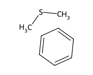 CSC.c1ccccc1